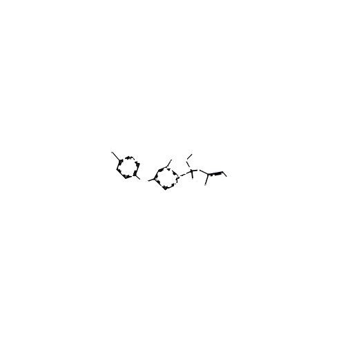 OC(CCl)(C/C(Cl)=C/Cl)c1ccc(Oc2ccc(Cl)cc2)cc1Cl